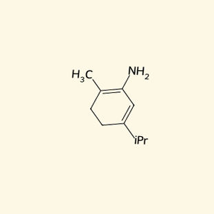 CC1=C(N)C=C(C(C)C)CC1